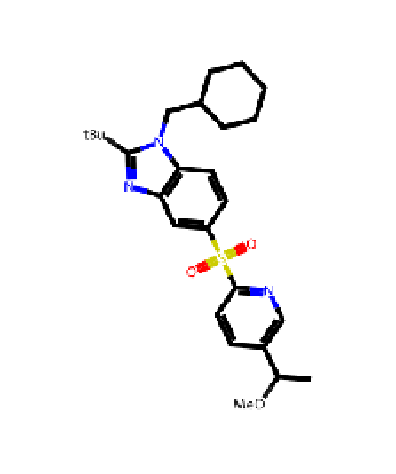 COC(C)c1ccc(S(=O)(=O)c2ccc3c(c2)nc(C(C)(C)C)n3CC2CCCCC2)nc1